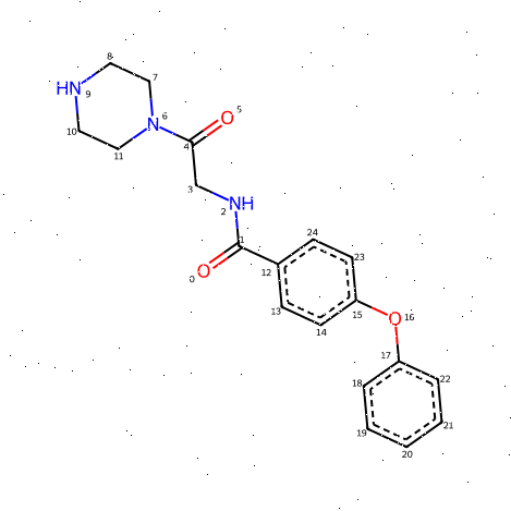 O=C(NCC(=O)N1CCNCC1)c1ccc(Oc2ccccc2)cc1